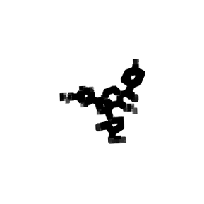 COC1CCN(c2nc(-c3nc(C)ns3)n3c2C(C)N(C(=O)c2ccc(F)cc2)CC3)C1=O